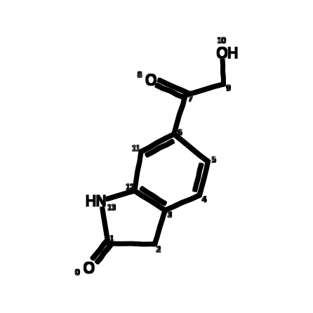 O=C1Cc2ccc(C(=O)CO)cc2N1